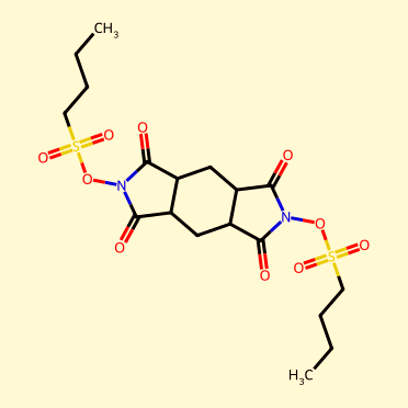 CCCCS(=O)(=O)ON1C(=O)C2CC3C(=O)N(OS(=O)(=O)CCCC)C(=O)C3CC2C1=O